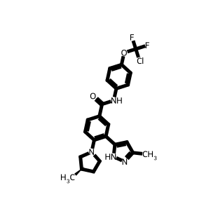 Cc1cc(-c2cc(C(=O)Nc3ccc(OC(F)(F)Cl)cc3)ccc2N2CC[C@@H](C)C2)[nH]n1